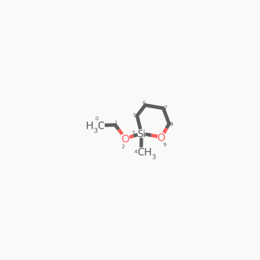 CCO[Si]1(C)CCCCO1